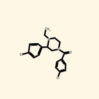 CCN1CCN(C(=O)c2ccc(Cl)cc2)CC1c1ccc(Cl)cc1